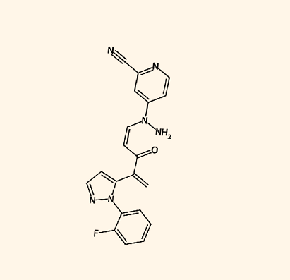 C=C(C(=O)/C=C\N(N)c1ccnc(C#N)c1)c1ccnn1-c1ccccc1F